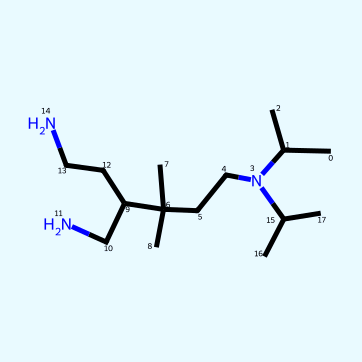 CC(C)N(CCC(C)(C)C(CN)CCN)C(C)C